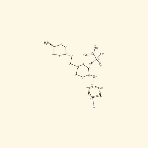 N[C@H]1CC[C@H](CCN2CCC(Oc3ccc(F)cc3)CC2)CC1.O=C(O)C(F)(F)F